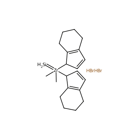 Br.Br.[CH3][Zr]([CH3])(=[SiH2])([CH]1C=CC2=C1CCCC2)[CH]1C=CC2=C1CCCC2